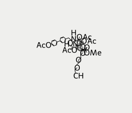 C#CCOCCOCCO[C@]1(C(=O)OC)C[C@H](OC(C)=O)[C@@H](N)[C@H]([C@H](OC(C)=O)[C@@H](CNC(=O)Cc2ccc(-c3ccc(OC(C)=O)cc3)cc2)OC(C)=O)O1